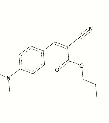 CCCOC(=O)C(C#N)=Cc1ccc(N(C)C)cc1